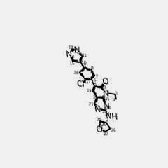 CCn1c(=O)c(-c2ccc(-c3cncnc3)cc2Cl)cc2cnc(N[C@@H]3CCOC3)nc21